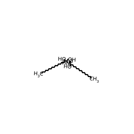 CCCCCCCCCCCCCC=CC(O)C(CO)NC(=O)C(O)CCCCCCCCCCCCCC